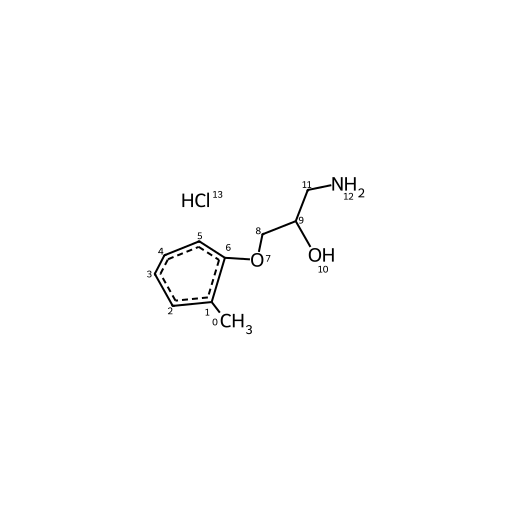 Cc1ccccc1OCC(O)CN.Cl